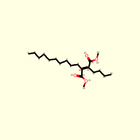 CCCCCCCCCCC(C(=O)OC)=C(CCCC)C(=O)OC